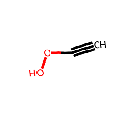 C#COO